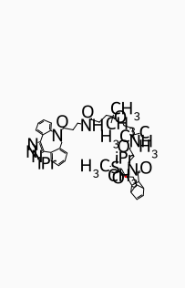 CC(C)n1nnc2c1-c1ccccc1CN(C(=O)CCNC(=O)CCC(C)(C)OCCC(C)(C)NC(=O)CCN1C(=O)C3C4C=CC(C4CCCS(C)(C)C(C)C)C3C1=O)c1ccccc1-2